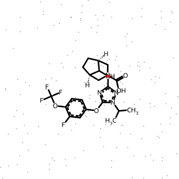 CC(C)n1nc(NC2[C@@H]3CC[C@H]2CN(C(=O)O)C3)nc1Oc1ccc(OC(F)(F)F)c(F)c1